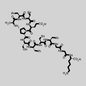 CC(C)C[C@H](NC(=O)[C@H](C)N)C(=O)N[C@@H](CS)C(=O)N[C@@H](CCC(=O)O)C(=O)N1CCC[C@H]1C(=O)N[C@@H](CO)C(=O)N[C@@H](CC(C)C)C(=O)N[C@@H](CS)C(=O)N[C@@H](CC(C)C)C(=O)NCC(=O)NCC(=O)N[C@@H](CCCCN)C(=O)O